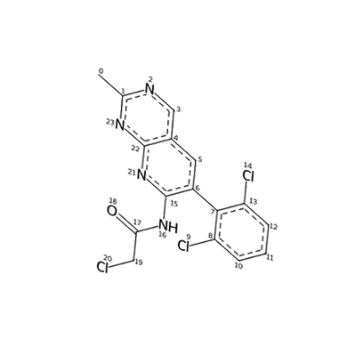 Cc1ncc2cc(-c3c(Cl)cccc3Cl)c(NC(=O)CCl)nc2n1